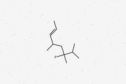 C/C=C/C(C)CC(C)(F)C(C)C